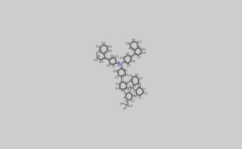 CC(C)(C)c1ccc(C2(c3ccccc3)c3ccccc3-c3c(-c4ccc(N(c5ccc(-c6cccc7ccccc67)cc5)c5ccc(-c6cccc7ccccc67)cc5)cc4)cccc32)cc1